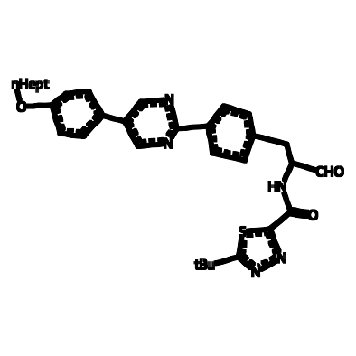 CCCCCCCOc1ccc(-c2cnc(-c3ccc(CC(C=O)NC(=O)c4nnc(C(C)(C)C)s4)cc3)nc2)cc1